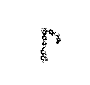 Cc1cc(-c2n[nH]c3ncc(-c4ccc(N5CC6CC5CN6CCc5ccc(C6CCC(=O)NC6=O)c(C)n5)cn4)cc23)ccc1[C@@H](C)NC(=O)c1noc(C(C)(C)C)n1